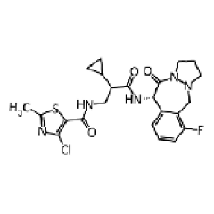 Cc1nc(Cl)c(C(=O)NCC(C(=O)N[C@@H]2C(=O)N3CCCN3Cc3c(F)cccc32)C2CC2)s1